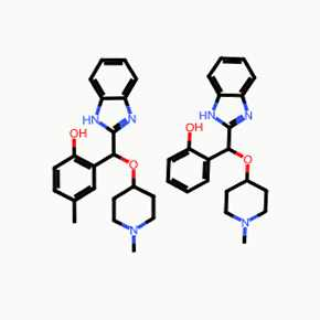 CN1CCC(OC(c2nc3ccccc3[nH]2)c2ccccc2O)CC1.Cc1ccc(O)c(C(OC2CCN(C)CC2)c2nc3ccccc3[nH]2)c1